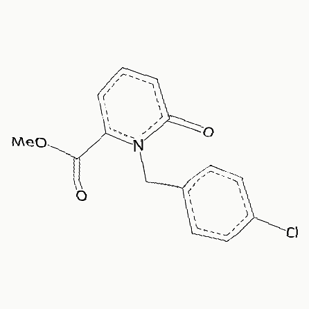 COC(=O)c1cccc(=O)n1Cc1ccc(Cl)cc1